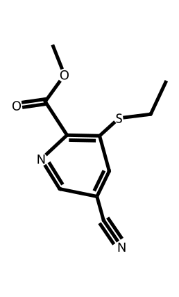 CCSc1cc(C#N)cnc1C(=O)OC